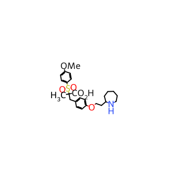 COc1ccc(S(=O)(=O)C(C)(Cc2ccc(OCCC3CCCCCN3)cc2)C(=O)O)cc1